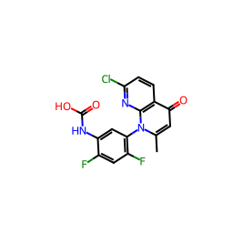 Cc1cc(=O)c2ccc(Cl)nc2n1-c1cc(NC(=O)O)c(F)cc1F